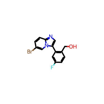 OCc1ccc(F)cc1-c1cnc2ccc(Br)cn12